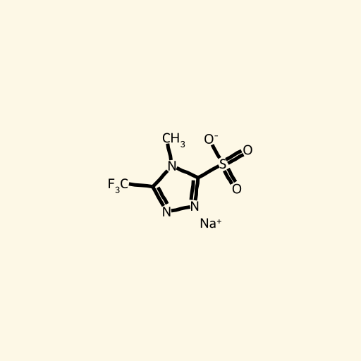 Cn1c(C(F)(F)F)nnc1S(=O)(=O)[O-].[Na+]